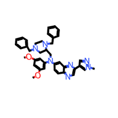 COc1cc(OC)cc(N(CC2CN(Cc3ccccc3)CCN2Cc2ccccc2)c2ccc3ncc(-c4cnn(C)c4)nc3c2)c1